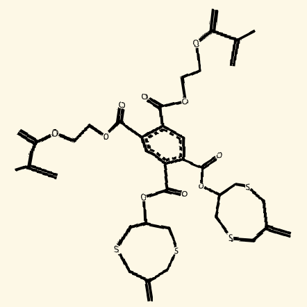 C=C1CSCC(OC(=O)c2cc(C(=O)OCCOC(=C)C(=C)C)c(C(=O)OCCOC(=C)C(=C)C)cc2C(=O)OC2CSCC(=C)CSC2)CSC1